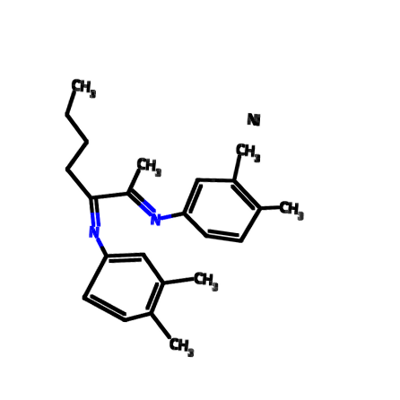 CCCCC(=Nc1ccc(C)c(C)c1)C(C)=Nc1ccc(C)c(C)c1.[Ni]